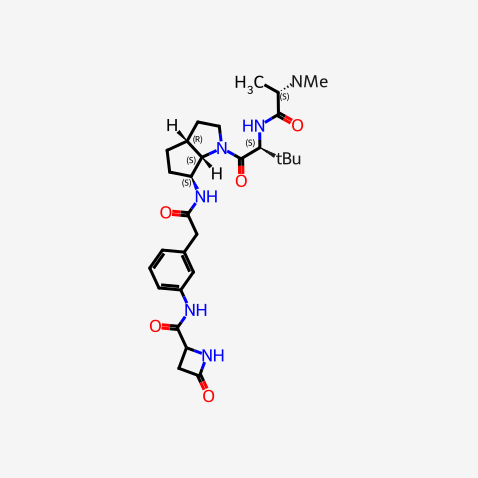 CN[C@@H](C)C(=O)N[C@H](C(=O)N1CC[C@H]2CC[C@H](NC(=O)Cc3cccc(NC(=O)C4CC(=O)N4)c3)[C@H]21)C(C)(C)C